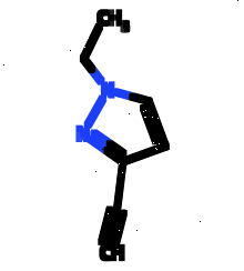 C#Cc1ccn(CC)n1